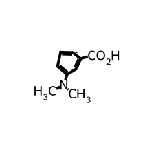 CN(C)c1cc[c]c(C(=O)O)c1